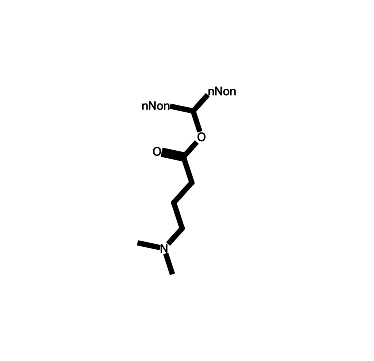 CCCCCCCCCC(CCCCCCCCC)OC(=O)CCCN(C)C